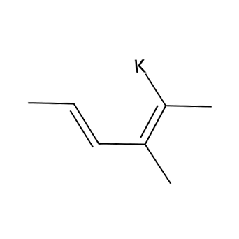 CC=CC(C)=[C](C)[K]